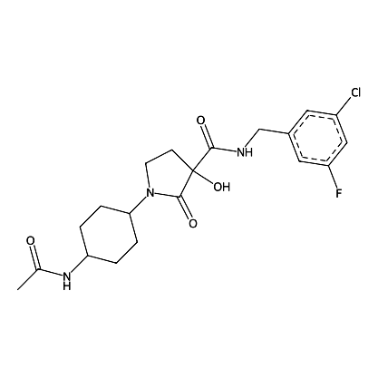 CC(=O)NC1CCC(N2CCC(O)(C(=O)NCc3cc(F)cc(Cl)c3)C2=O)CC1